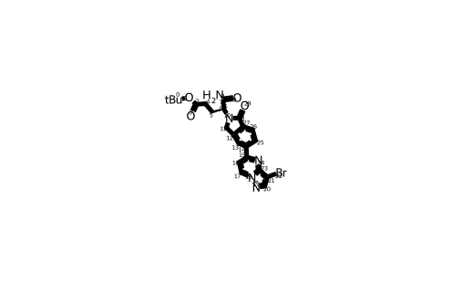 CC(C)(C)OC(=O)CC[C@@H](C(N)=O)N1Cc2cc(-c3ccn4ncc(Br)c4n3)ccc2C1=O